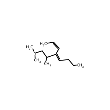 C/C=C\C(=C/CCC)C(C)CN(C)C